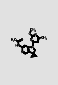 COc1nc(C)cc(N2CC3(CC3)c3cnc(NC(C)=O)cc32)n1